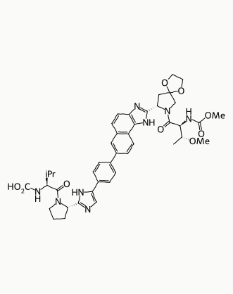 COC(=O)N[C@H](C(=O)N1CC2(C[C@H]1c1nc3ccc4cc(-c5ccc(-c6cnc([C@@H]7CCCN7C(=O)[C@@H](NC(=O)O)C(C)C)[nH]6)cc5)ccc4c3[nH]1)OCCO2)[C@@H](C)OC